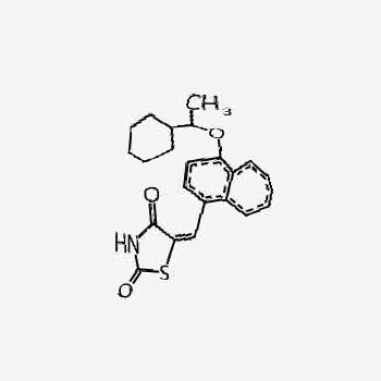 CC(Oc1ccc(C=C2SC(=O)NC2=O)c2ccccc12)C1CCCCC1